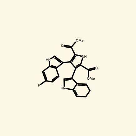 COC(=O)c1[nH]c(C(=O)OC)c(-c2c[nH]c3cc(F)ccc23)c1-c1c[nH]c2c1=CCCC=2